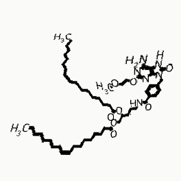 CCCCCCCC/C=C\CCCCCCCC(=O)OCC([CH]CCNC(=O)c1ccc(Cn2c(=O)[nH]c3c(N)nc(OCCOC)nc32)cc1)OC(=O)CCCCCCC/C=C\CCCCCCCC